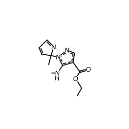 CCOC(=O)c1cnn(C2(C)C=CC=N2)c1NC